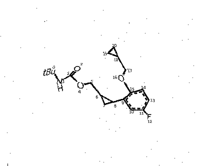 CC(C)(C)NC(=O)OCC1CC1c1cc(F)ccc1OCC1CC1